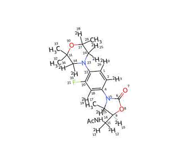 [2H]c1c([2H])c(N2C(=O)O[C@@]([2H])(C([2H])([2H])NC(C)=O)C2([2H])C)c([2H])c(F)c1N1C([2H])([2H])C([2H])(C)OC(C)(C)C1([2H])[2H]